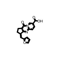 O=C(O)c1ccc2nc3c(c(=O)n2c1)CC/C3=C/c1ccco1